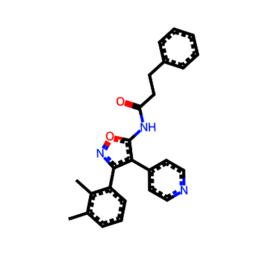 Cc1cccc(-c2noc(NC(=O)CCc3ccccc3)c2-c2ccncc2)c1C